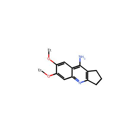 CCOc1cc2nc3c(c(N)c2cc1OCC)CCC3